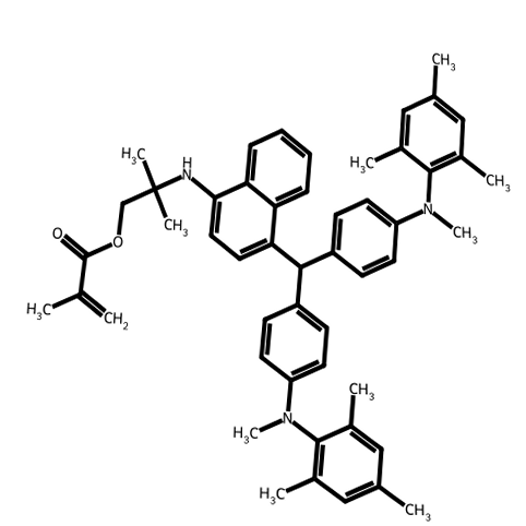 C=C(C)C(=O)OCC(C)(C)Nc1ccc(C(c2ccc(N(C)c3c(C)cc(C)cc3C)cc2)c2ccc(N(C)c3c(C)cc(C)cc3C)cc2)c2ccccc12